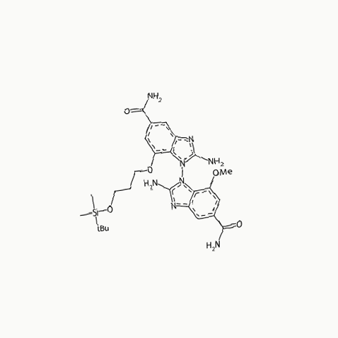 COc1cc(C(N)=O)cc2nc(N)n(-n3c(N)nc4cc(C(N)=O)cc(OCCCO[Si](C)(C)C(C)(C)C)c43)c12